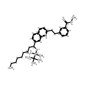 CCCCCCCCC(O[Si](C)(C)C(C)(C)C)c1ccc2ccc(CCc3cccc(C(=O)OC)c3)nc2c1